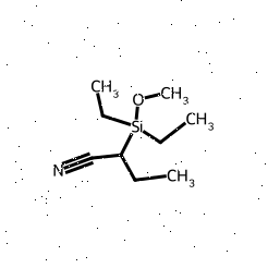 CCC(C#N)[Si](CC)(CC)OC